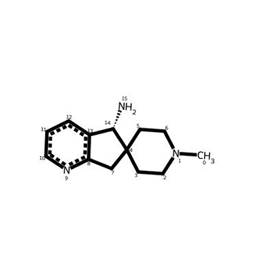 CN1CCC2(CC1)Cc1ncccc1[C@@H]2N